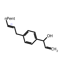 C=CC(O)c1ccc(C/C=C/CCCCC)cc1